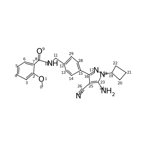 COc1ccccc1C(=O)NCc1ccc(-c2nn(C3CCC3)c(N)c2C#N)cc1